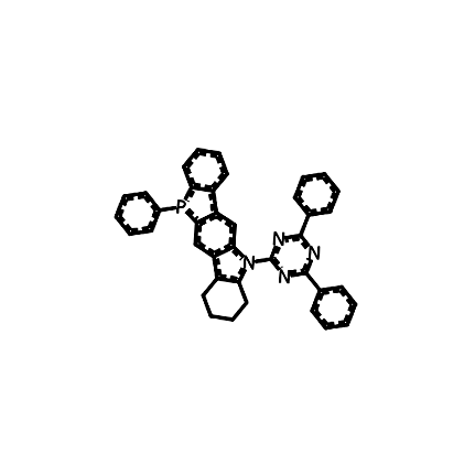 c1ccc(-c2nc(-c3ccccc3)nc(-n3c4c(c5cc6c(cc53)c3ccccc3p6-c3ccccc3)CCCC4)n2)cc1